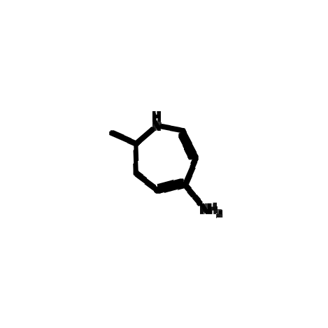 CC1CC=C(N)C=CN1